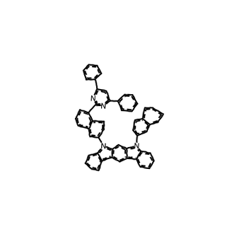 c1ccc(-c2cc(-c3ccccc3)nc(-c3cccc4cc(-n5c6ccccc6c6cc7c8ccccc8n(-c8ccc9ccccc9c8)c7cc65)ccc34)n2)cc1